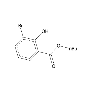 CCCCOC(=O)c1cccc(Br)c1O